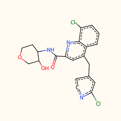 O=C(NC1CCOCC1O)c1cc(Cc2ccnc(Cl)c2)c2cccc(Cl)c2n1